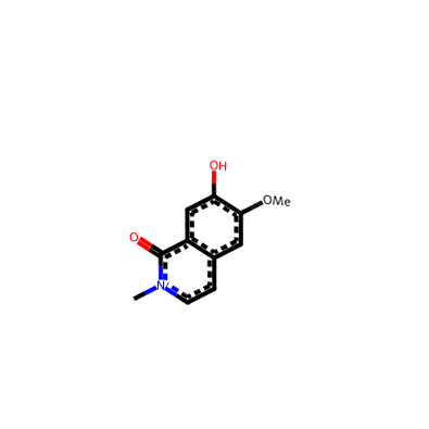 COc1cc2ccn(C)c(=O)c2cc1O